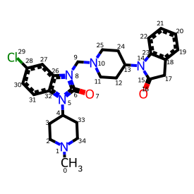 CN1CCC(n2c(=O)n(CN3CCC(N4C(=O)Cc5ccccc54)CC3)c3cc(Cl)ccc32)CC1